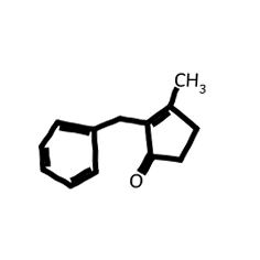 CC1=C(Cc2ccccc2)C(=O)CC1